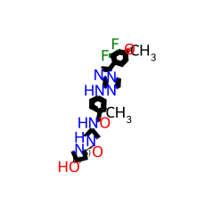 COc1ccc(-c2cnc3c(Nc4ccc(C(=O)NC5CN(C(=O)[C@@H]6C[C@@H](O)CN6)C5)c(C)c4)nccn23)c(F)c1F